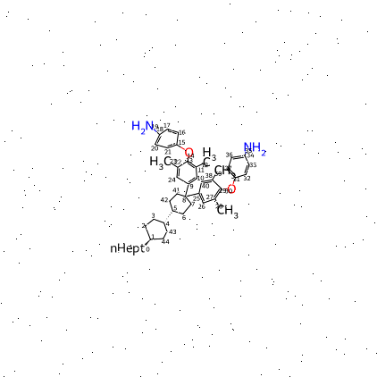 CCCCCCC[C@H]1CC[C@H](C2CCC(c3cc(C)c(Oc4ccc(N)cc4)c(C)c3)(c3cc(C)c(Oc4ccc(N)cc4)c(C)c3)CC2)CC1